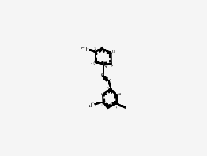 Cc1cc(F)cc(/C=C/c2cccc(F)c2)c1